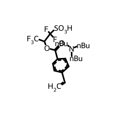 C=Cc1ccc(C(=O)OC(C(F)(F)F)C(F)(F)S(=O)(=O)O)cc1.CCCCN(CCCC)CCCC